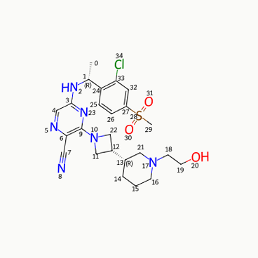 C[C@@H](Nc1cnc(C#N)c(N2CC([C@H]3CCCN(CCO)C3)C2)n1)c1ccc(S(C)(=O)=O)cc1Cl